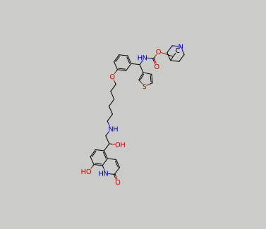 O=C(NC(c1ccsc1)c1cccc(OCCCCCCNCC(O)c2ccc(O)c3[nH]c(=O)ccc23)c1)OC1CN2CCC1CC2